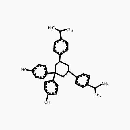 CC(C)c1ccc(C2CC(c3ccc(C(C)C)cc3)CC(c3ccc(O)cc3)(c3ccc(O)cc3)C2)cc1